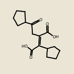 O=C(O)C(CC(=O)C1CCCC1)=C(C(=O)O)C1CCCC1